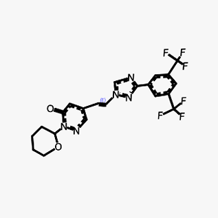 O=c1cc(/C=C/n2cnc(-c3cc(C(F)(F)F)cc(C(F)(F)F)c3)n2)cnn1C1CCCCO1